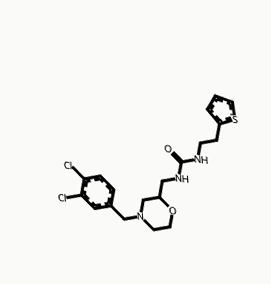 O=C(NCCc1cccs1)NCC1CN(Cc2ccc(Cl)c(Cl)c2)CCO1